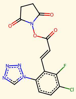 O=C(C=Cc1c(-n2cnnn2)ccc(Cl)c1F)ON1C(=O)CCC1=O